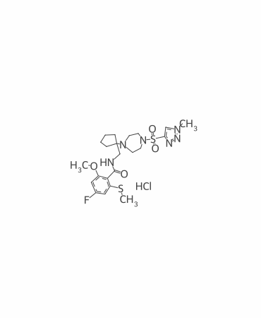 COc1cc(F)cc(SC)c1C(=O)NCC1(N2CCN(S(=O)(=O)c3cn(C)nn3)CC2)CCCC1.Cl